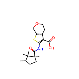 CC1CCC(C)(C(=O)Nc2sc3c(c2C(=O)O)CCOC3)C1(C)C